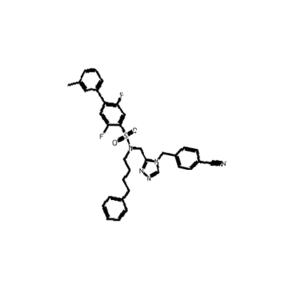 Cc1cccc(-c2cc(F)c(S(=O)(=O)N(CCCCc3ccccc3)Cc3nncn3Cc3ccc(C#N)cc3)cc2F)c1